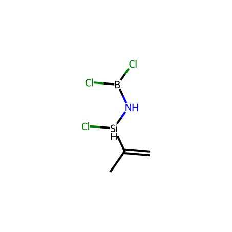 C=C(C)[SiH](Cl)NB(Cl)Cl